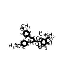 COc1ccc(-c2cc(C(OC)(OC)c3ccc(Cl)c(C(N)=O)c3)nn2-c2ccc(OC)cc2)cc1